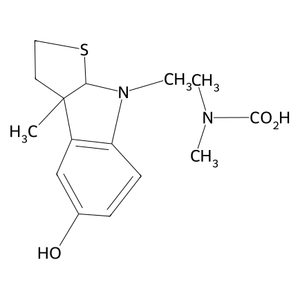 CN(C)C(=O)O.CN1c2ccc(O)cc2C2(C)CCSC12